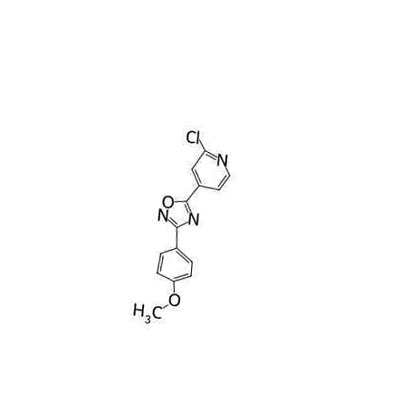 COc1ccc(-c2noc(-c3ccnc(Cl)c3)n2)cc1